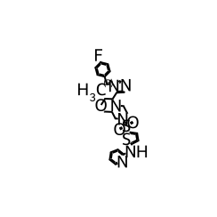 C[C@H](c1ccc(F)cc1)n1cncc1C1COCC2CN(S(=O)(=O)c3ccc(Nc4ccccn4)s3)CCN21